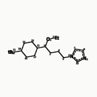 CCOC(CCCn1ccnc1)C1CCC(C(C)(C)C)CC1